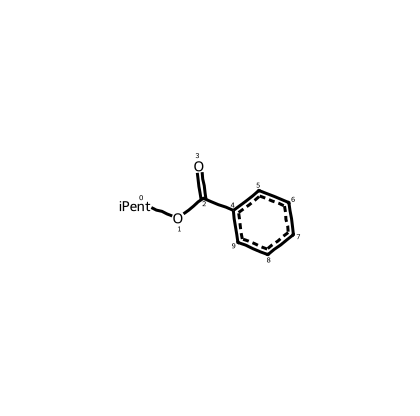 CCCC(C)OC(=O)c1ccccc1